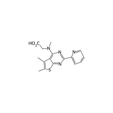 Cc1sc2nc(-c3ccccn3)nc(N(C)CC(=O)O)c2c1C